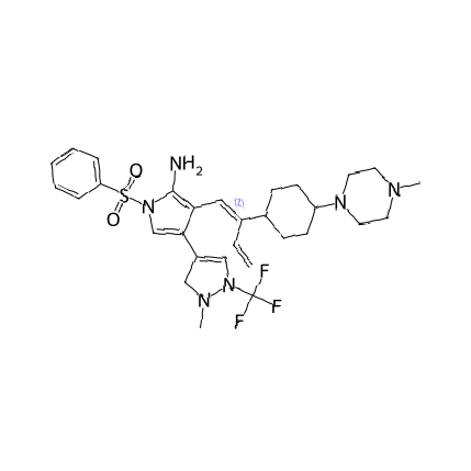 C=C/C(=C\c1c(C2=CN(C(F)(F)F)N(C)C2)cn(S(=O)(=O)c2ccccc2)c1N)C1CCC(N2CCN(C)CC2)CC1